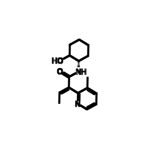 C/C=C(/C(=O)N[C@H]1CCCCC1O)c1ncccc1C